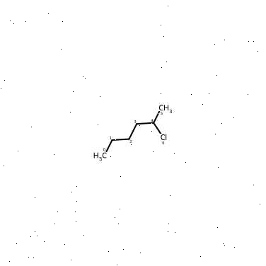 CCCCC(C)Cl